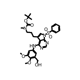 COc1cc(Nc2ncnc3c2c(CCCN(C)C(=O)OC(C)(C)C)cn3S(=O)(=O)c2ccccc2)cc(CO)c1OC